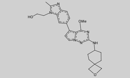 COc1nc(NC2CCC3(CC2)COC3)nn2ccc(-c3ccc4nc(C)n(CCO)c4c3)c12